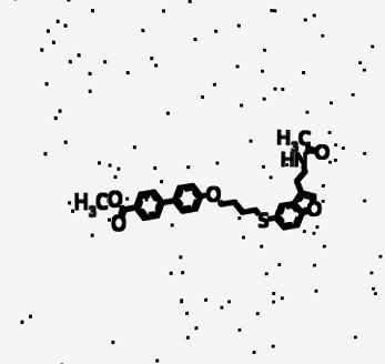 COC(=O)c1ccc(-c2ccc(OCCCCSc3ccc4occ(CCNC(C)=O)c4c3)cc2)cc1